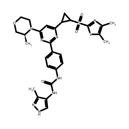 Cc1n[nH]cc1NC(=O)Nc1ccc(-c2nc(C3CC3S(=O)(=O)c3nc(C)c(C)s3)cc(N3CCOC[C@@H]3C)n2)cc1